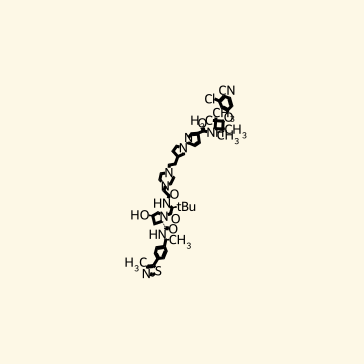 Cc1ncsc1-c1ccc([C@H](C)NC(=O)[C@@H]2C[C@@H](O)CN2C(=O)[C@@H](NC(=O)CN2CCN(CCC3CCN(c4ccc(C(=O)NC5C(C)(C)C(Oc6ccc(C#N)c(Cl)c6)C5(C)C)cn4)C3)CC2)C(C)(C)C)cc1